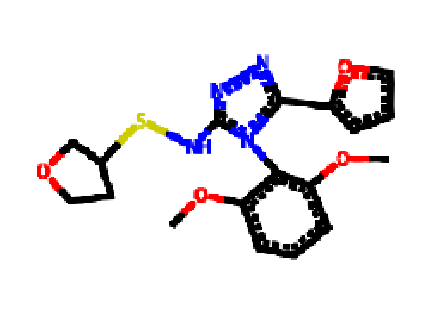 COc1cccc(OC)c1-n1c(NSC2CCOC2)nnc1-c1ccco1